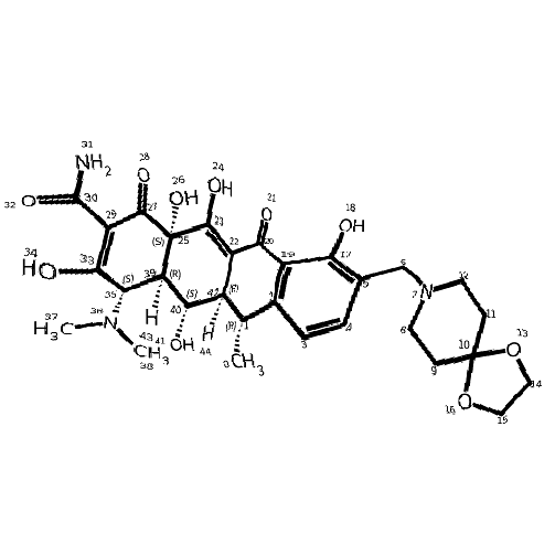 C[C@H]1c2ccc(CN3CCC4(CC3)OCCO4)c(O)c2C(=O)C2=C(O)[C@]3(O)C(=O)C(C(N)=O)=C(O)[C@@H](N(C)C)[C@@H]3[C@@H](O)[C@@H]21